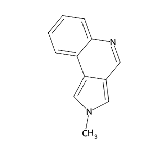 Cn1cc2cnc3ccccc3c2c1